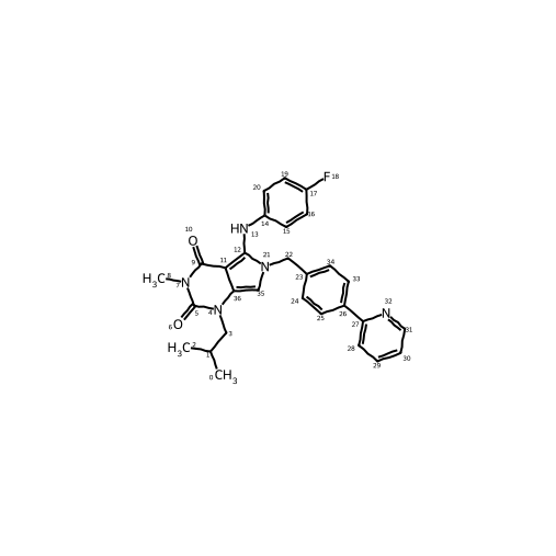 CC(C)Cn1c(=O)n(C)c(=O)c2c(Nc3ccc(F)cc3)n(Cc3ccc(-c4ccccn4)cc3)cc21